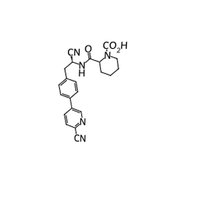 N#Cc1ccc(-c2ccc(C[C@@H](C#N)NC(=O)C3CCCCN3C(=O)O)cc2)cn1